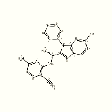 C[C@H](Nc1nc(N)ncc1C#N)c1nc2ccc(F)cc2n1-c1ccccc1